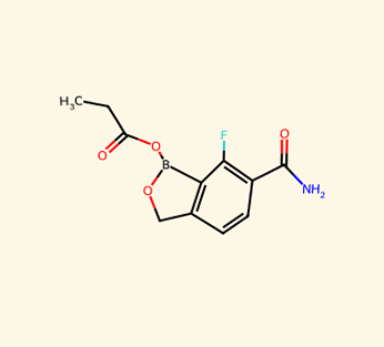 CCC(=O)OB1OCc2ccc(C(N)=O)c(F)c21